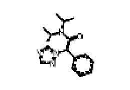 CC(C)N(C(=O)C(c1ccccc1)n1cncn1)C(C)C